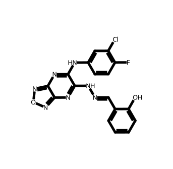 Oc1ccccc1C=NNc1nc2nonc2nc1Nc1ccc(F)c(Cl)c1